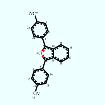 N#Cc1ccc(-c2oc(-c3ccc(C#N)cc3)c3ccccc23)cc1